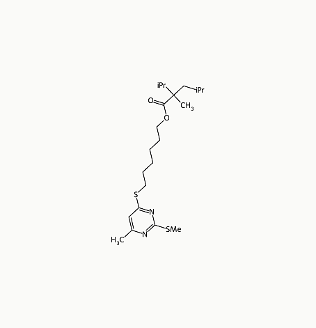 CSc1nc(C)cc(SCCCCCCOC(=O)C(C)(CC(C)C)C(C)C)n1